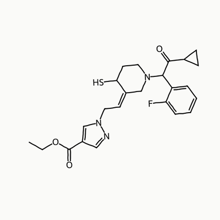 CCOC(=O)c1cnn(CC=C2CN(C(C(=O)C3CC3)c3ccccc3F)CCC2S)c1